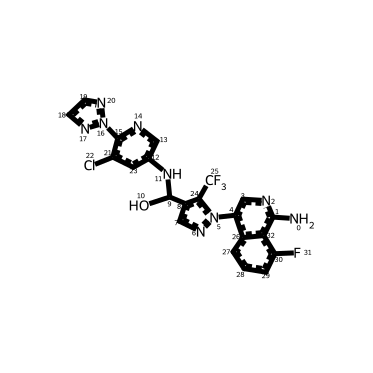 Nc1ncc(-n2ncc(C(O)Nc3cnc(-n4nccn4)c(Cl)c3)c2C(F)(F)F)c2cccc(F)c12